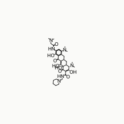 CN(C)CC(=O)Nc1cc(N(C)C)c2c(c1O)C(=O)C1=C(O)C3(O)C(=O)C(C(=O)NCN4CCCCC4)=C(O)[C@@H](N(C)C)C3CC1C2